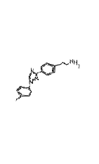 Cc1ccc(-n2cnc(-c3ccc(CCN)cc3)n2)cc1